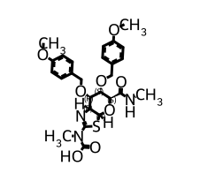 CNC(=O)[C@H]1O[C@@H]2SC(N(C)C(=O)O)=N[C@@H]2[C@@H](OCc2ccc(OC)cc2)[C@@H]1OCc1ccc(OC)cc1